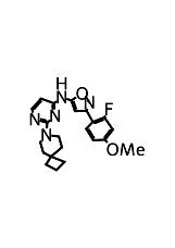 COc1ccc(-c2cc(Nc3ccnc(N4CCC5(CCC5)CC4)n3)on2)c(F)c1